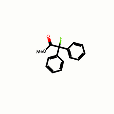 COC(=O)C(F)(c1ccccc1)c1ccccc1